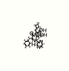 O=C(N[C@@H](Cc1ccccc1)C(=O)N[C@@H](CC1CCC1)B(O)O)c1cnccn1